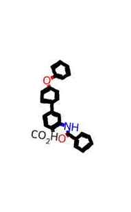 O=C(Nc1cc(-c2ccc(Oc3ccccc3)cc2)ccc1C(=O)O)c1ccccc1